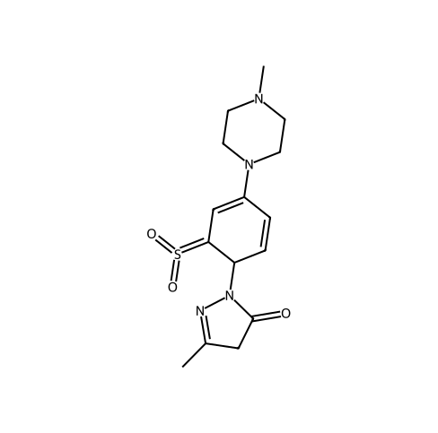 CC1=NN(C2C=CC(N3CCN(C)CC3)=CC2=S(=O)=O)C(=O)C1